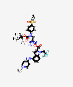 CN1CCC(Nc2cccc3c2cc(C(=O)O/N=C(\N)CN(C(=O)OC(C)(C)C)c2ccc(S(C)(=O)=O)cc2)n3CC(F)(F)F)CC1